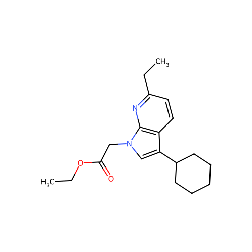 CCOC(=O)Cn1cc(C2CCCCC2)c2ccc(CC)nc21